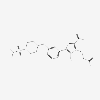 CC(C)S(=O)(=O)N1CCC(Nc2cccc(-c3sc(C(=O)O)c(OCC(=O)O)c3Br)c2)CC1